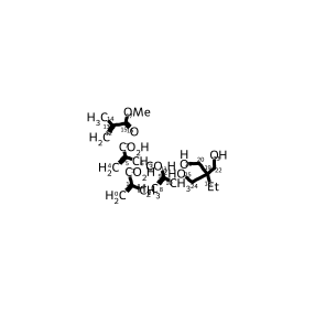 C=C(C)C(=O)O.C=C(C)C(=O)O.C=C(C)C(=O)O.C=C(C)C(=O)OC.CCC(CO)(CO)CO